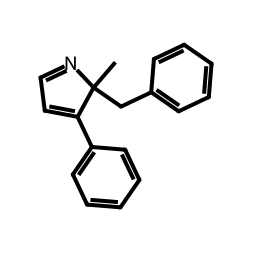 CC1(Cc2ccccc2)N=CC=C1c1ccccc1